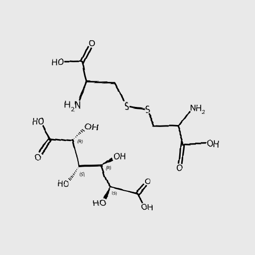 NC(CSSCC(N)C(=O)O)C(=O)O.O=C(O)[C@@H](O)[C@H](O)[C@H](O)[C@@H](O)C(=O)O